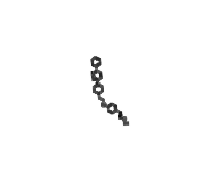 CCON=Cc1ccc(OCCC2CCN(c3ccc(-c4ccccc4)nn3)CC2)cc1